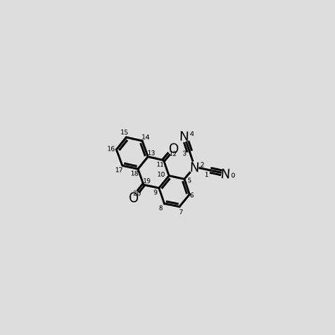 N#CN(C#N)c1cccc2c1C(=O)c1ccccc1C2=O